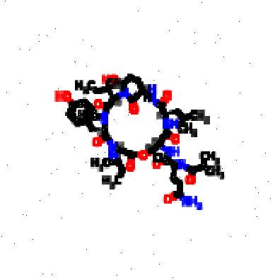 CCC(C)[C@@H]1NC(=O)[C@H](Cc2ccc(O)cc2)N(C)C(=O)[C@H](C(C)CC)N2C(=O)[C@H](CC[C@H]2O)NC(=O)[C@H](CC(C)C)NC(=O)[C@@H](NC(=O)[C@H](CCC(N)=O)NC(=O)C(C)C)[C@@H](C)OC1=O